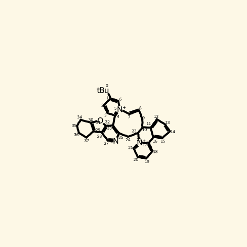 CC(C)(C)c1ccc2[n+](c1)/C=C/CC1c3ccccc3-c3cccc[n+]3C1Cc1ncc3c4c(oc3c1-2)CCCC4